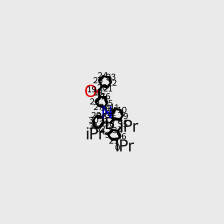 CC(C)c1cc(C(C)C)c(B2c3ccccc3N(c3ccc(C(=O)c4ccccc4)cc3)c3ccccc32)c(C(C)C)c1